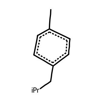 Cc1ccc(CC(C)C)cc1